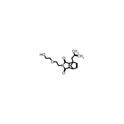 C=C(C)CC12C=CC(C1)C1C(=O)N(CCOCCO)C(=O)C12